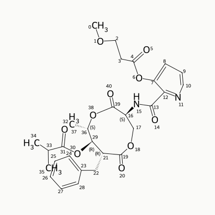 COCCC(=O)Oc1cccnc1C(=O)N[C@H]1COC(=O)[C@H](Cc2ccccc2)[C@@H](OC(=O)C(C)C)[C@H](C)OC1=O